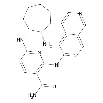 NC(=O)c1ccc(N[C@@H]2CCCCC[C@@H]2N)nc1Nc1ccc2cnccc2c1